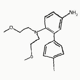 COCCN(CCOC)c1ccc(N)cc1-c1ccc(I)cc1